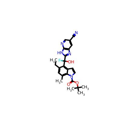 CCc1cc(C)c2c(ccn2C(=O)OC(C)(C)C)c1C(O)(F)c1nc2cc(C#N)cnc2[nH]1